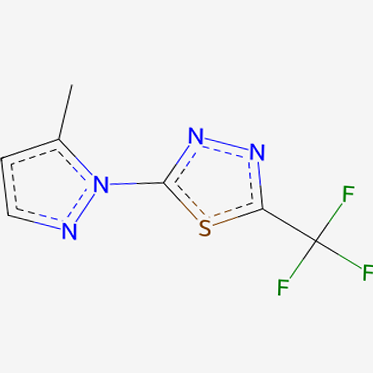 Cc1[c]cnn1-c1nnc(C(F)(F)F)s1